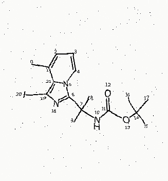 Cc1cccn2c(C(C)(C)NC(=O)OC(C)(C)C)nc(I)c12